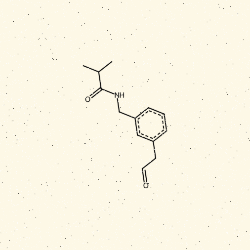 CC(C)C(=O)NCc1cccc(CC=O)c1